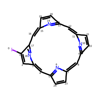 IC1=CC2=CC3=NC(=CC4=NC(=CC5=NC(=CC1=N2)C=C5)C=C4)C=C3